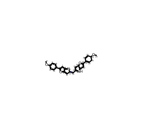 COc1ccc(-c2cc3c(o2)=C/C(=C/c2cc4oc(C5=CCC(OC)C=C5)cc4[nH]2)N=3)cc1